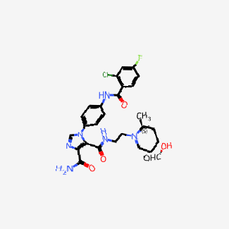 C[C@H]1CCCCN1CCNC(=O)c1c(C(N)=O)ncn1-c1ccc(NC(=O)c2ccc(F)cc2Cl)cc1.O=CO